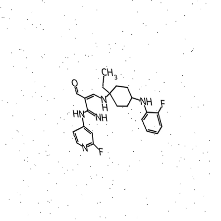 CCC1(N/C=C(/C=O)C(=N)Nc2ccnc(F)c2)CCC(Nc2ccccc2F)CC1